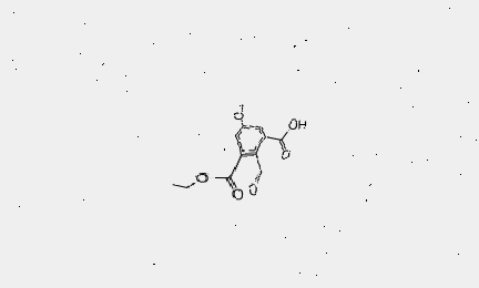 CCOC(=O)c1cc(OC)cc(C(=O)O)c1C=O